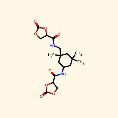 CC1(C)CC(NC(=O)C2COC(=O)O2)CC(C)(CNC(=O)C2COC(=O)O2)C1